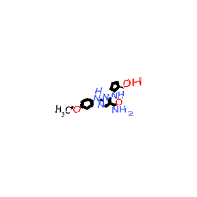 CCO[C@H]1CC[C@H](Nc2ncc(C(N)=O)c(N[C@@H]3CCC[C@H]3CO)n2)CC1